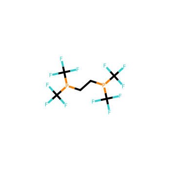 FC(F)(F)P(CCP(C(F)(F)F)C(F)(F)F)C(F)(F)F